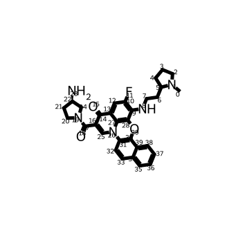 CN1CCCC1CCNc1c(F)cc2c(=O)c(C(=O)N3CC[C@@H](N)C3)cn3c2c1Oc1c-3ccc2ccccc12